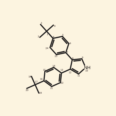 CC(C)(C)c1ccc(-c2c[nH]cc2-c2ccc(C(C)(C)C)cc2)cc1